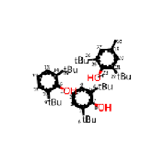 CC(C)(C)c1cccc(C(C)(C)C)c1O.CC(C)(C)c1cccc(C(C)(C)C)c1O.Cc1cc(C(C)(C)C)c(O)c(C(C)(C)C)c1